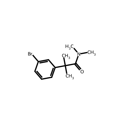 CN(C)C(=O)C(C)(C)c1cccc(Br)c1